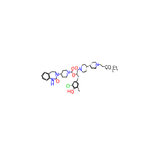 CCOC(=O)CCN1CCC(C2CCN(C(=O)[C@@H](Cc3cc(C)c(O)c(Cl)c3)OC(=O)N3CCC(N4CCc5ccccc5NC4=O)CC3)CC2)CC1